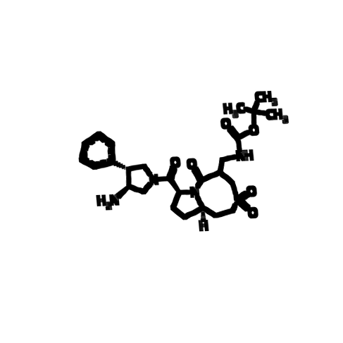 CC(C)(C)OC(=O)NCC1CS(=O)(=O)CC[C@H]2CC[C@@H](C(=O)N3C[C@@H](N)[C@H](c4ccccc4)C3)N2C1=O